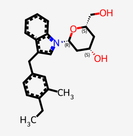 CCc1ccc(Cc2cn([C@H]3C[C@@H](O)C[C@@H](CO)O3)c3ccccc23)cc1C